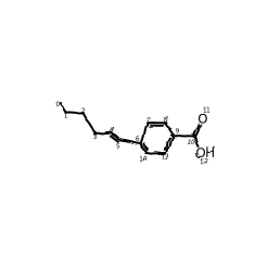 CCCCC=Cc1ccc(C(=O)O)cc1